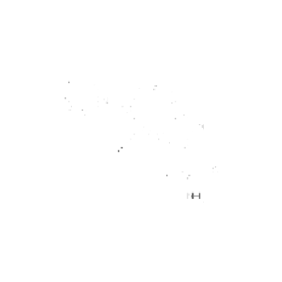 Cc1c(-n2cccc2)ccc2c1C(S(N)(=O)=O)=N2